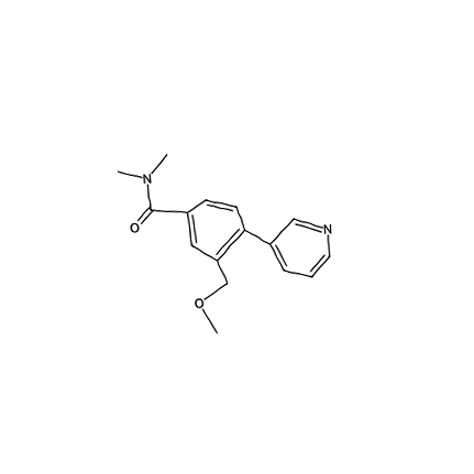 COCc1cc(C(=O)N(C)C)ccc1-c1cccnc1